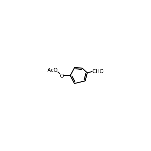 CC(=O)OOc1ccc(C=O)cc1